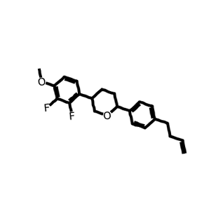 C=CCCc1ccc(C2CCC(c3ccc(OC)c(F)c3F)CO2)cc1